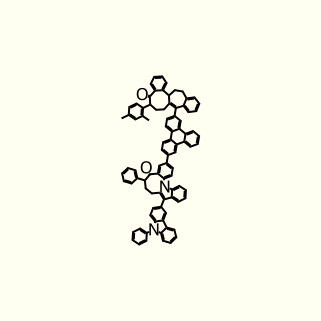 Cc1ccc(C2CCC3=C(c4ccc5c6ccc(-c7ccc8c(c7)C(=O)C(c7ccccc7)CCc7c(-c9ccc%10c(c9)c9ccccc9n%10-c9ccccc9)c9ccccc9n7-8)cc6c6ccccc6c5c4)c4ccccc4CCC3c3ccccc3C2=O)c(C)c1